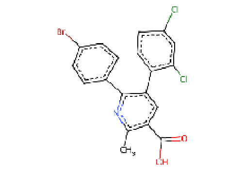 Cc1nc(-c2ccc(Br)cc2)c(-c2ccc(Cl)cc2Cl)cc1C(=O)O